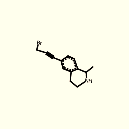 CC1NCCc2cc(C#CCBr)ccc21